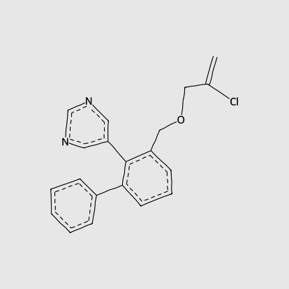 C=C(Cl)COCc1cccc(-c2ccccc2)c1-c1cncnc1